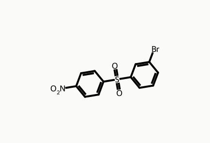 O=[N+]([O-])c1ccc(S(=O)(=O)c2cccc(Br)c2)cc1